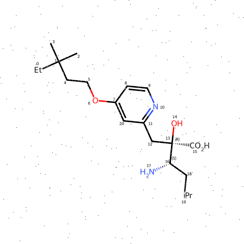 CCC(C)(C)CCOc1ccnc(C[C@](O)(C(=O)O)[C@@H](N)CC(C)C)c1